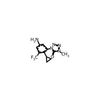 Cn1nnn(-c2cc(N)cc(C(F)(F)F)c2C2CC2)c1=O